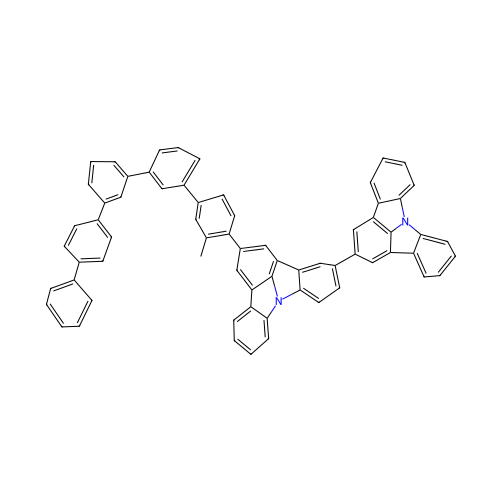 Cc1cc(-c2cccc(-c3cccc(-c4ccc(-c5ccccc5)cc4)c3)c2)ccc1-c1cc2c3ccccc3n3c4ccc(-c5cc6c7ccccc7n7c8ccccc8c(c5)c67)cc4c(c1)c23